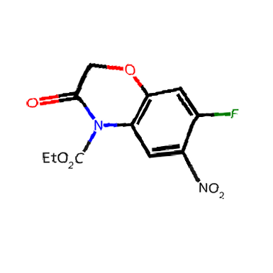 CCOC(=O)N1C(=O)COc2cc(F)c([N+](=O)[O-])cc21